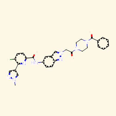 Cn1cc(-c2nc(C(=O)Nc3ccc4nn(CC(=O)N5CCN(C(=O)c6ccccc6)CC5)cc4c3)ccc2F)cn1